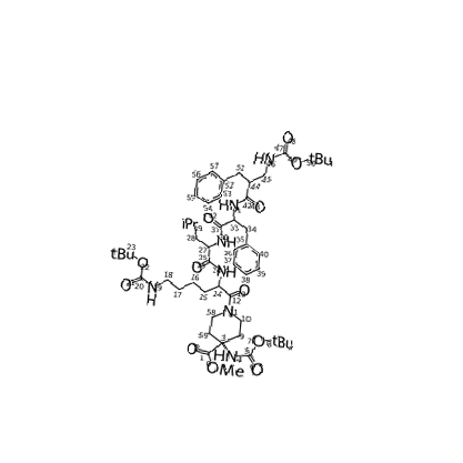 COC(=O)C1(NC(=O)OC(C)(C)C)CCN(C(=O)C(CCCCNC(=O)OC(C)(C)C)NC(=O)C(CC(C)C)NC(=O)C(Cc2ccccc2)NC(=O)C(CNC(=O)OC(C)(C)C)Cc2ccccc2)CC1